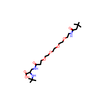 CC(C)(C)CC(=O)NCCOCCOCCOCCOCCC(=O)NCC(NC(C)(C)C)C(=O)O